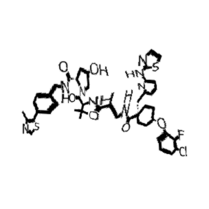 Cc1ncsc1-c1ccc(CNC(=O)[C@@H]2C[C@@H](O)CN2C(=O)C(NC(=O)CCNC(=O)[C@]2(Cc3cccc(Nc4nccs4)n3)CC[C@@H](Oc3cccc(Cl)c3F)CC2)C(C)(C)C)cc1